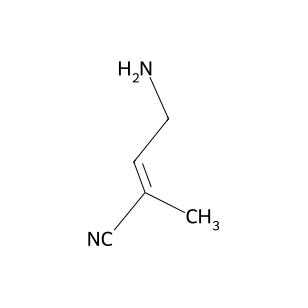 CC(C#N)=CCN